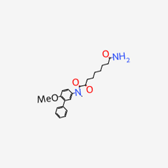 COc1ccc(N(C)C(=O)C(=O)CCCCCCC(N)=O)cc1-c1ccccc1